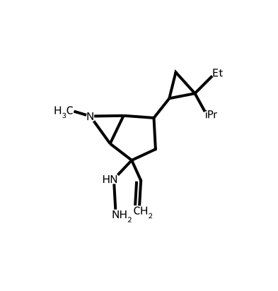 C=CC1(NN)CC(C2CC2(CC)C(C)C)C2C1N2C